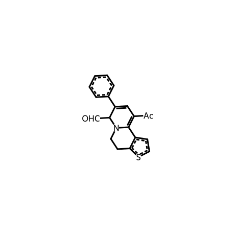 CC(=O)C1=C2c3ccsc3CCN2C(C=O)C(c2ccccc2)=C1